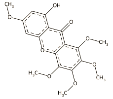 COc1cc(O)c2c(=O)c3c(OC)c(OC)c(OC)c(OC)c3oc2c1